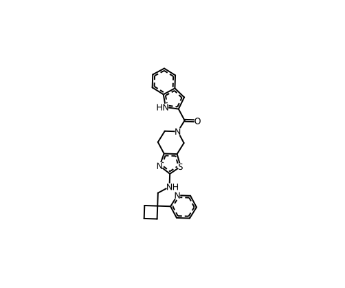 O=C(c1cc2ccccc2[nH]1)N1CCc2nc(NCC3(c4ccccn4)CCC3)sc2C1